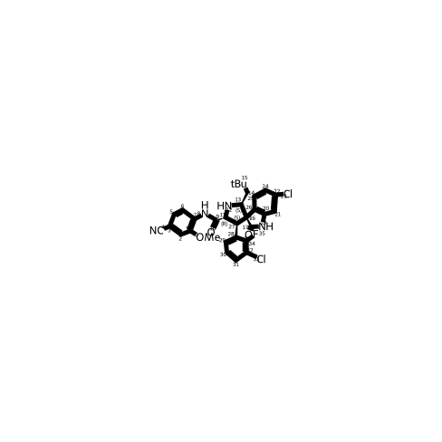 COc1cc(C#N)ccc1NC(=O)[C@@H]1N[C@@H](CC(C)(C)C)[C@@]2(C(=O)Nc3cc(Cl)ccc32)[C@H]1c1cccc(Cl)c1F